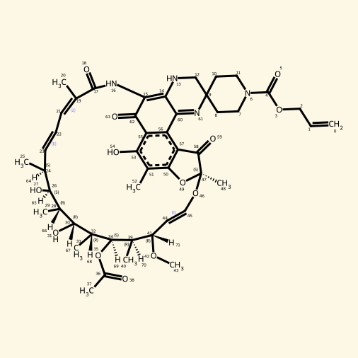 C=CCOC(=O)N1CCC2(CC1)CNC1=C3NC(=O)/C(C)=C\C=C\[C@H](C)[C@H](O)[C@@H](C)[C@@H](O)[C@@H](C)[C@H](OC(C)=O)[C@H](C)[C@@H](OC)/C=C/O[C@@]4(C)Oc5c(C)c(O)c(c(c5C4=O)C1=N2)C3=O